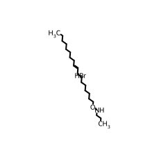 Br.CCCCCCCCC=CCCCCCCCCONCCC